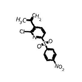 C=C(C)c1ccc(S(=O)(=O)c2ccc([N+](=O)[O-])cc2)nc1Cl